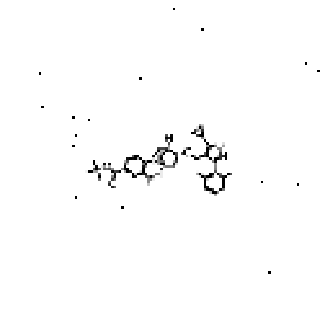 Cc1cccc(C)c1-c1noc(C2CC2)c1CO[C@@H]1C[C@@H]2C[C@H]1CN2c1ccc(C(=O)OC(C)(C)C)cc1F